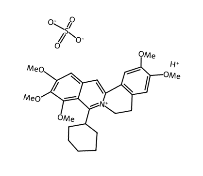 COc1cc2c(cc1OC)-c1cc3cc(OC)c(OC)c(OC)c3c(C3CCCCC3)[n+]1CC2.O=S(=O)([O-])[O-].[H+]